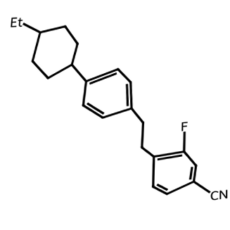 CCC1CCC(c2ccc(CCc3ccc(C#N)cc3F)cc2)CC1